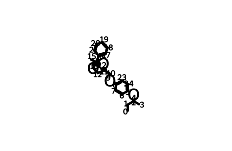 CCC(C)Oc1ccc(OCC2COC(C)(c3ccccc3)O2)cc1